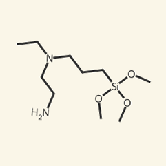 CCN(CCN)CCC[Si](OC)(OC)OC